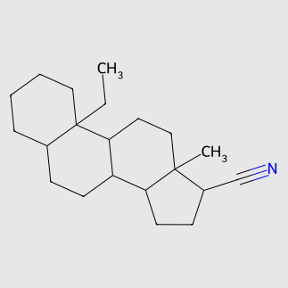 CCC12CCCCC1CCC1C3CCC(C#N)C3(C)CCC12